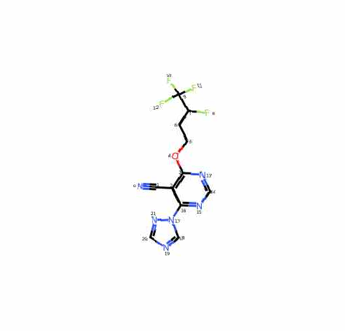 N#Cc1c(OCCC(F)C(F)(F)F)ncnc1-n1cncn1